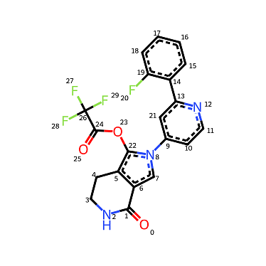 O=C1NCCc2c1cn(-c1ccnc(-c3ccccc3F)c1)c2OC(=O)C(F)(F)F